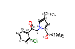 COC(=O)c1cc(C=O)cn1CC(=O)c1ccccc1Cl